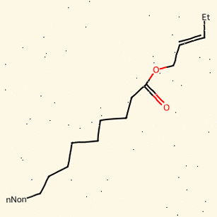 CCC=CCOC(=O)CCCCCCCCCCCCCCCCC